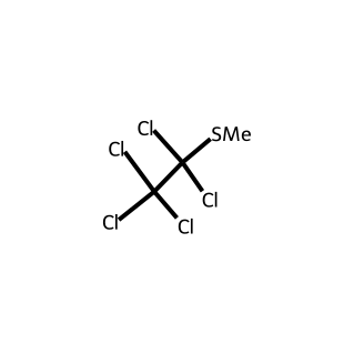 [CH2]SC(Cl)(Cl)C(Cl)(Cl)Cl